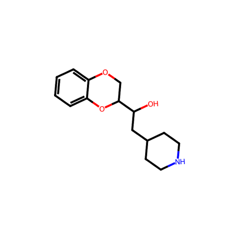 OC(CC1CCNCC1)C1COc2ccccc2O1